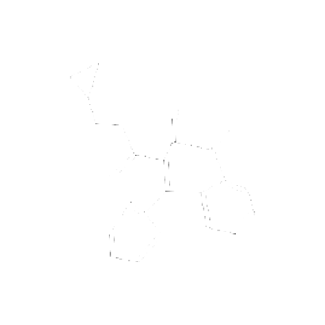 Cn1c(=O)c(C(=O)CCC2CC2)c(-c2ccccc2)c2ccccc21